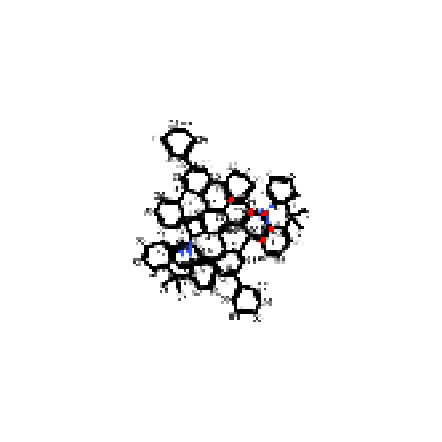 CC1(C)c2ccccc2N(c2ccc3c(-c4c(-c5ccccc5)cc(-c5ccccc5)cc4-c4ccccc4)c4c(c(-c5c(-c6ccccc6)cc(-c6ccccc6)cc5-c5ccccc5)c3c2)C(N2c3ccccc3C(C)(C)c3ccccc32)C4)c2ccccc21